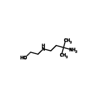 CC(C)(N)CCNCCO